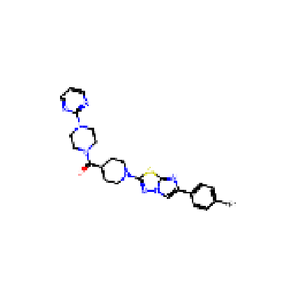 CC(C)c1ccc(-c2cn3nc(N4CCC(C(=O)N5CCN(c6ncccn6)CC5)CC4)sc3n2)cc1